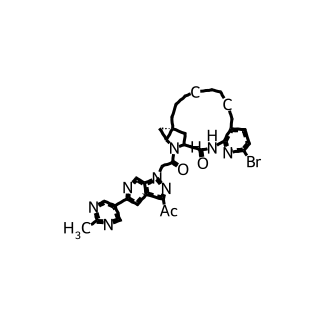 CC(=O)c1nn(CC(=O)N2C3C[C@@]34CCCCCCCCc3ccc(Br)nc3NC(=O)[C@@H]2C4)c2cnc(-c3cnc(C)nc3)cc12